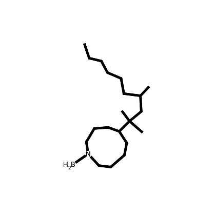 BN1CCCCC(C(C)(C)CC(C)CCCCCC)CCC1